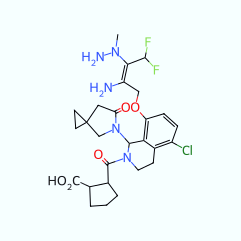 CN(N)/C(=C(\N)COc1ccc(Cl)c2c1C(N1CC3(CC3)CC1=O)N(C(=O)C1CCCC1C(=O)O)CC2)C(F)F